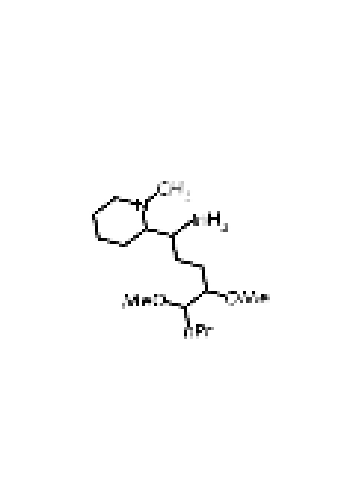 CCCC(OC)C(CC[CH]([InH2])C1CCCCN1C)OC